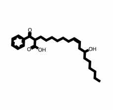 CCCCCCC(O)C/C=C\CCCCCCC(C(=O)O)C(=O)c1ccccc1